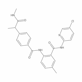 CNC(=O)C(C)c1ccc(C(=O)Nc2ccc(C)cc2C(=O)Nc2ccc(Cl)cn2)cc1